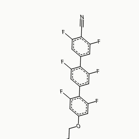 CCCOc1cc(F)c(-c2cc(F)c(-c3cc(F)c(C#N)c(F)c3)c(F)c2)c(F)c1